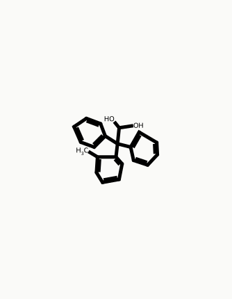 Cc1ccccc1C(c1ccccc1)(c1ccccc1)C(O)O